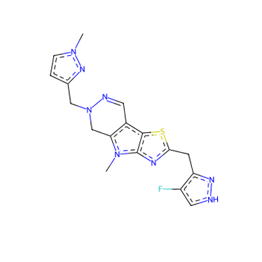 Cn1ccc(CN2Cc3c(c4sc(Cc5n[nH]cc5F)nc4n3C)C=N2)n1